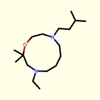 CCN1CCCCN(CCC(C)C)CCOC(C)(C)C1